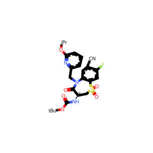 CC(C)Oc1cccc(CN2C(=O)[C@@H](NC(=O)OC(C)(C)C)CS(=O)(=O)c3cc(F)c(C#N)cc32)n1